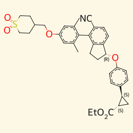 CCOC(=O)[C@H]1C[C@@H]1c1ccc(O[C@@H]2CCc3c2ccc(C#N)c3-c2c(C)cc(OCC3CCS(=O)(=O)CC3)cc2C)cc1